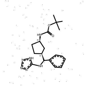 CC(C)(C)OC(=O)N[C@@H]1CC[C@H](C(Nc2nnn[nH]2)c2ccccc2)C1